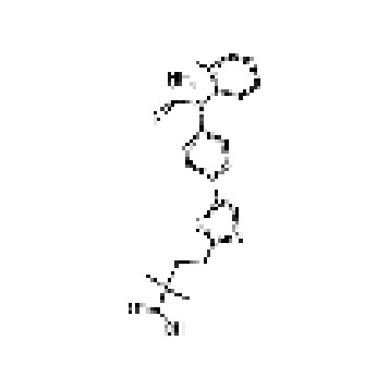 CC(C)(CCc1ncc(-c2ccc(N(C(=N)N)c3ccccc3F)cc2)s1)C(=O)O